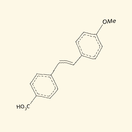 COc1ccc(C=Cc2ccc(C(=O)O)cc2)cc1